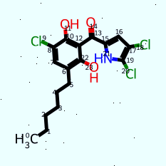 CCCCCCc1cc(Cl)c(O)c(C(=O)c2cc(Cl)c(Cl)[nH]2)c1O